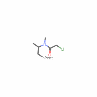 CCCCCCC(C)N(C)C(=O)CCl